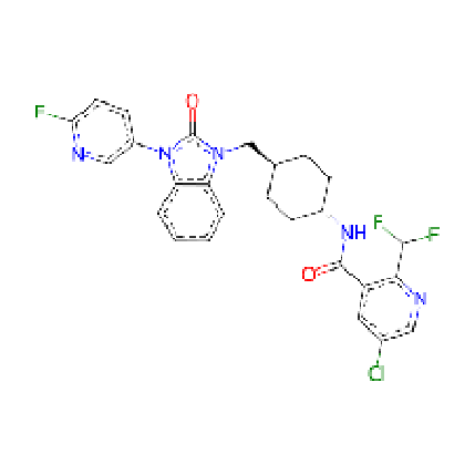 O=C(N[C@H]1CC[C@H](Cn2c(=O)n(-c3ccc(F)nc3)c3ccccc32)CC1)c1cc(Cl)cnc1C(F)F